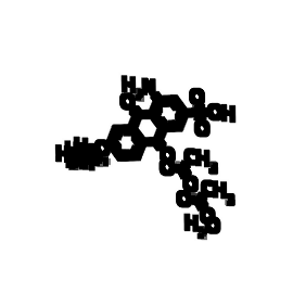 CC(=O)[O-].CC(=O)[O-].Nc1cc(S(=O)(=O)O)cc2c1C(=O)c1ccccc1C2=O.O.O.O.O.[Mn+2]